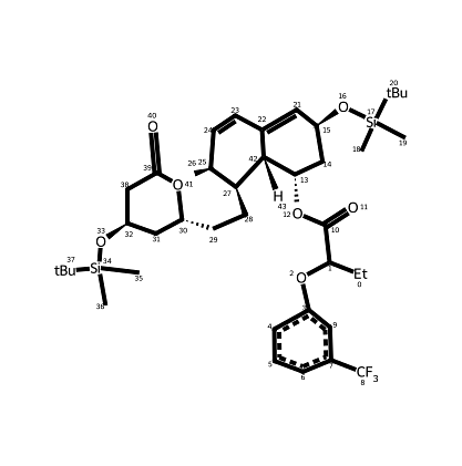 CCC(Oc1cccc(C(F)(F)F)c1)C(=O)O[C@H]1C[C@H](O[Si](C)(C)C(C)(C)C)C=C2C=C[C@H](C)[C@H](CC[C@@H]3C[C@@H](O[Si](C)(C)C(C)(C)C)CC(=O)O3)[C@H]21